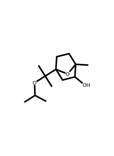 CC(C)OC(C)(C)C12CCC(C)(O1)C(O)C2